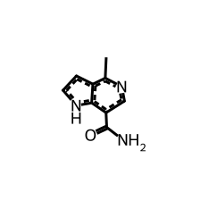 Cc1ncc(C(N)=O)c2[nH]ccc12